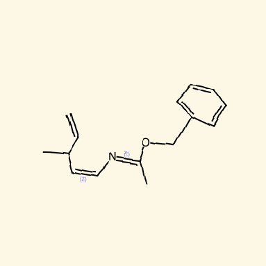 C=CC(C)/C=C\N=C(/C)OCc1ccccc1